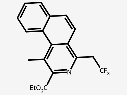 CCOC(=O)c1nc(CC(F)(F)F)c2ccc3ccccc3c2c1C